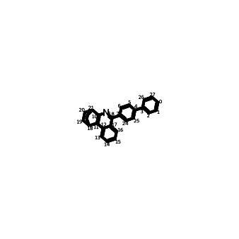 c1ccc(-c2ccc(-c3nc4c(c5ccccc35)C3CCC4CC3)cc2)cc1